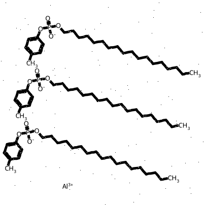 CCCCCCCCCCCCCCCCCCOP(=O)([O-])Oc1ccc(C)cc1.CCCCCCCCCCCCCCCCCCOP(=O)([O-])Oc1ccc(C)cc1.CCCCCCCCCCCCCCCCCCOP(=O)([O-])Oc1ccc(C)cc1.[Al+3]